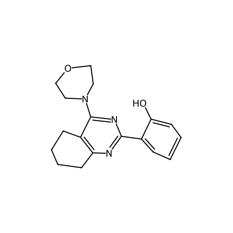 Oc1ccccc1-c1nc2c(c(N3CCOCC3)n1)CCCC2